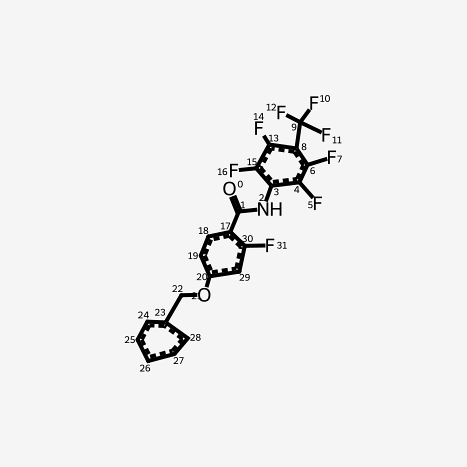 O=C(Nc1c(F)c(F)c(C(F)(F)F)c(F)c1F)c1ccc(OCc2ccccc2)cc1F